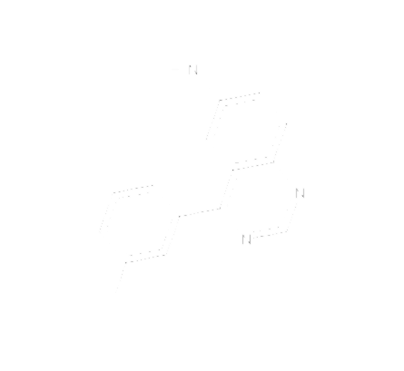 Nc1ccc2ncnc(-c3cccc(I)c3)c2c1